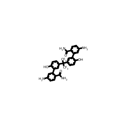 NC(=O)c1ccc(N)cc1-c1cc(C(c2ccc(O)c(-c3cc(N)ccc3C(N)=O)c2)(C(F)(F)F)C(F)(F)F)ccc1O